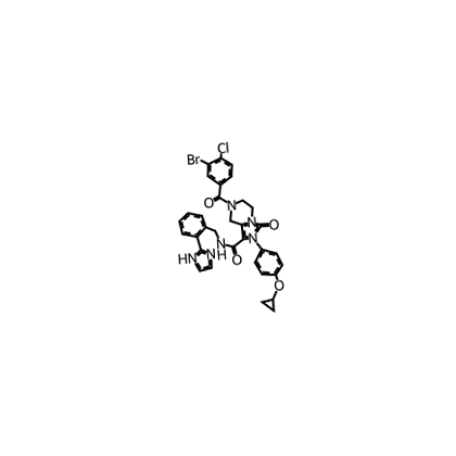 O=C(NCc1ccccc1-c1ncc[nH]1)c1c2n(c(=O)n1-c1ccc(OC3CC3)cc1)CCN(C(=O)c1ccc(Cl)c(Br)c1)C2